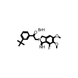 Br.COc1cc2c(c(F)c1OC)C(=N)N(CC(=O)c1cccc(C(C)(C)C)c1)C2